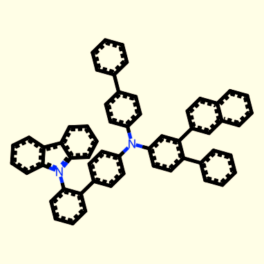 c1ccc(-c2ccc(N(c3ccc(-c4ccccc4-n4c5ccccc5c5ccccc54)cc3)c3ccc(-c4ccccc4)c(-c4ccc5ccccc5c4)c3)cc2)cc1